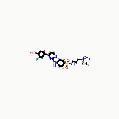 CN(C)CCCNS(=O)(=O)c1ccc(Nc2nccc(-c3ccc(O)c(F)c3)n2)cc1